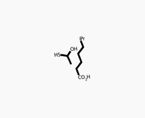 CC(C)CCCCC(=O)O.CC(O)S